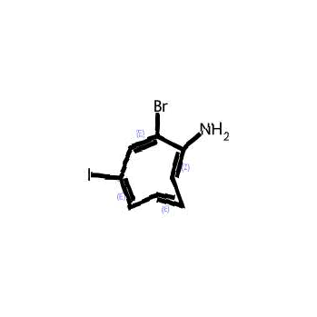 NC1=C\C=C\C=C(I)/C=C\1Br